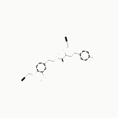 C#CCOc1ccc(CCNC(=O)C(CCc2ccc(Cl)cc2)OCC#C)cc1OC